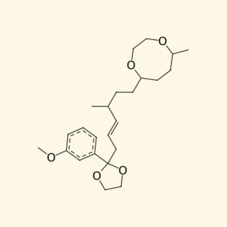 COc1cccc(C2(C/C=C/C(C)CCC3CCC(C)OCCO3)OCCO2)c1